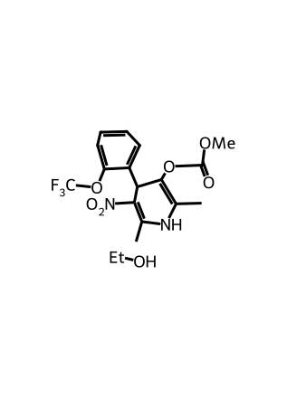 CCO.COC(=O)OC1=C(C)NC(C)=C([N+](=O)[O-])C1c1ccccc1OC(F)(F)F